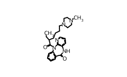 CCC(CCCCN1CCN(C)CC1)C(=O)N1c2ccccc2C(=O)Nc2cccnc21